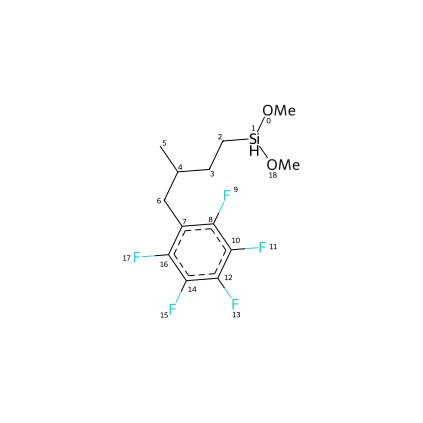 CO[SiH](CCC(C)Cc1c(F)c(F)c(F)c(F)c1F)OC